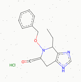 CCC1c2nc[nH]c2CC(=C=O)N1OCc1ccccc1.Cl